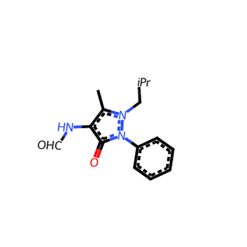 Cc1c(NC=O)c(=O)n(-c2ccccc2)n1CC(C)C